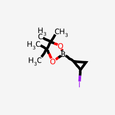 CC1(C)OB(C2CC2I)OC1(C)C